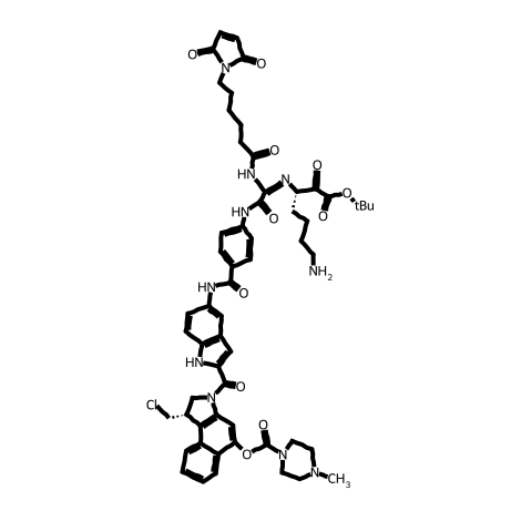 CN1CCN(C(=O)Oc2cc3c(c4ccccc24)[C@H](CCl)CN3C(=O)c2cc3cc(NC(=O)c4ccc(NC(=O)/C(=N\[C@@H](CCCCN)C(=O)C(=O)OC(C)(C)C)NC(=O)CCCCCN5C(=O)C=CC5=O)cc4)ccc3[nH]2)CC1